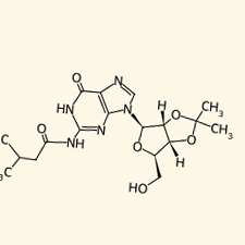 CC(C)CC(=O)Nc1nc2c(ncn2[C@@H]2O[C@H](CO)[C@H]3OC(C)(C)O[C@H]32)c(=O)[nH]1